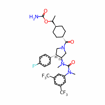 CC(OC(N)=O)[C@H]1CC[C@H](C(=O)N2C[C@@H](N(C)C(=O)N(C)c3cc(C(F)(F)F)cc(C(F)(F)F)c3)[C@H](c3ccc(F)cc3)C2)CC1